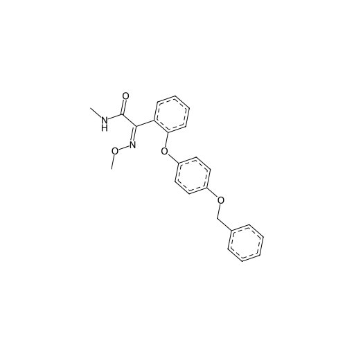 CNC(=O)C(=NOC)c1ccccc1Oc1ccc(OCc2ccccc2)cc1